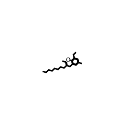 CCCCCCCCC1=C(C)Oc2c(CC)cc(C)cc2C1